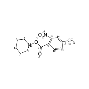 O=C(ON1CCCCC1)c1ccc(C(F)(F)F)cc1[N+](=O)[O-]